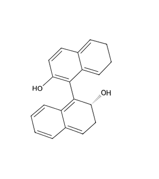 Oc1ccc2c(c1C1=c3ccccc3=CC[C@H]1O)=CCCC=2